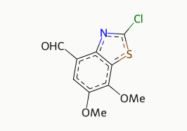 COc1cc(C=O)c2nc(Cl)sc2c1OC